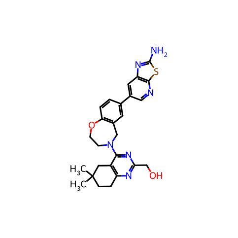 CC1(C)CCc2nc(CO)nc(N3CCOc4ccc(-c5cnc6sc(N)nc6c5)cc4C3)c2C1